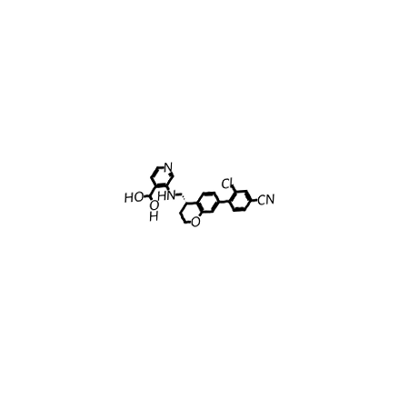 N#Cc1ccc(-c2ccc3c(c2)OCC[C@@H]3CNc2cnccc2C(O)O)c(Cl)c1